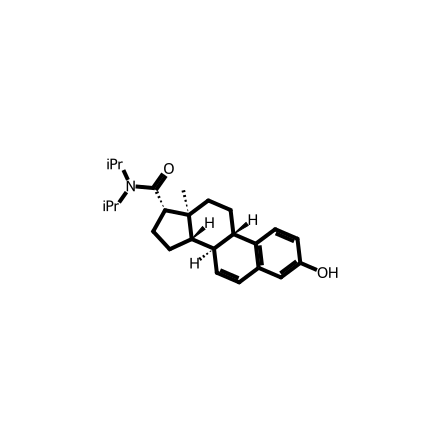 CC(C)N(C(=O)[C@H]1CC[C@H]2[C@@H]3C=Cc4cc(O)ccc4[C@H]3CC[C@]12C)C(C)C